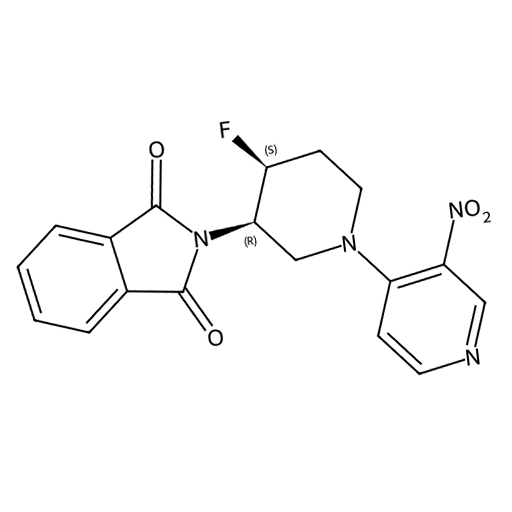 O=C1c2ccccc2C(=O)N1[C@@H]1CN(c2ccncc2[N+](=O)[O-])CC[C@@H]1F